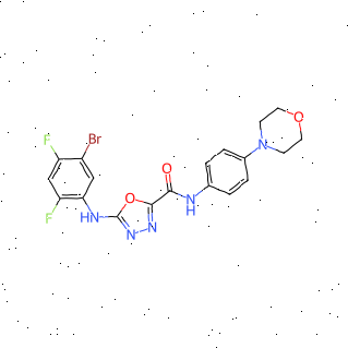 O=C(Nc1ccc(N2CCOCC2)cc1)c1nnc(Nc2cc(Br)c(F)cc2F)o1